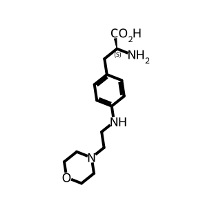 N[C@@H](Cc1ccc(NCCN2CCOCC2)cc1)C(=O)O